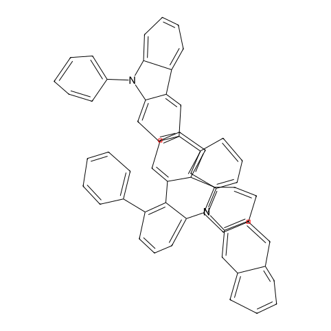 c1ccc(-c2ccccc2-c2c(-c3ccccc3)cccc2N(c2cccc(-c3ccc4c(c3)c3ccccc3n4-c3ccccc3)c2)c2ccc3ccccc3c2)cc1